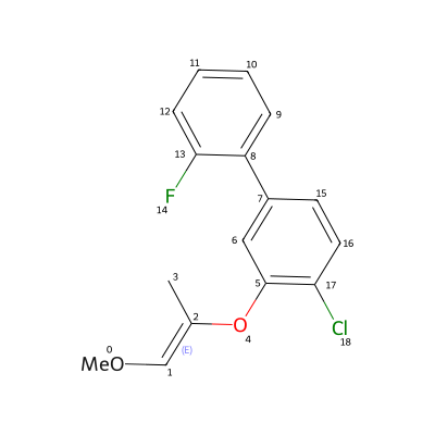 CO/C=C(\C)Oc1cc(-c2ccccc2F)ccc1Cl